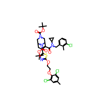 Cc1cc(Cl)c(OCCOc2ncc(C3=C(C(=O)N(Cc4cccc(Cl)c4C)C4CC4)C4CN(C(=O)OC(C)(C)C)CC(C3)N4C(=O)OC(C)(C)C)s2)c(Cl)c1